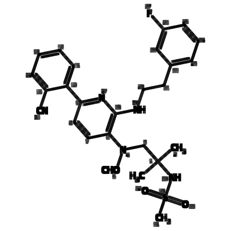 CC(C)(CN(C=O)c1ccc(-c2ccccc2C#N)nc1NCCc1cccc(F)c1)NS(C)(=O)=O